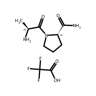 C[C@H](N)C(=O)N1CCC[C@H]1C(N)=O.O=C(O)C(F)(F)F